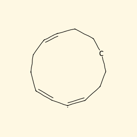 [C]1=CCCCCCC=CCCC=C1